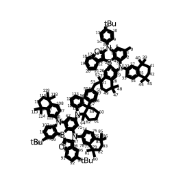 Cc1cc2c3c(c1)N(c1ccc(C(C)(C)C)cc1)c1oc4ccccc4c1B3c1cc3c(cc1N2c1ccc2c(c1)C(C)(C)CCC2(C)C)C(C)(C)CCC3(C)Cc1ccc(C23CCCCC2(C)N(c2cc4c5c(c2)N(c2ccc6c(c2)C(C)(C)CCC6(C)C)c2c(oc6ccc(C(C)(C)C)cc26)B5c2cc(C(C)(C)C)ccc2N4c2ccc4c(c2)C(C)(C)CCC4(C)C)c2ccccc23)cc1